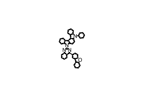 c1ccc(-n2c3ccccc3c3c4c5ccccc5n(-c5nc(-c6ccc7oc8ccccc8c7c6)c6ccccc6n5)c4ccc32)cc1